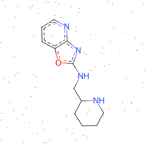 c1cnc2nc(NCC3CCCCN3)oc2c1